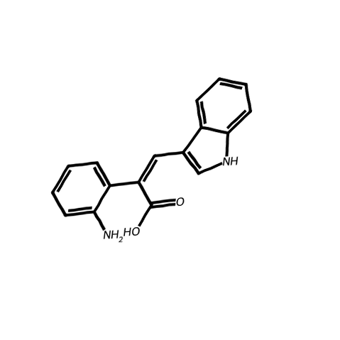 Nc1ccccc1C(=Cc1c[nH]c2ccccc12)C(=O)O